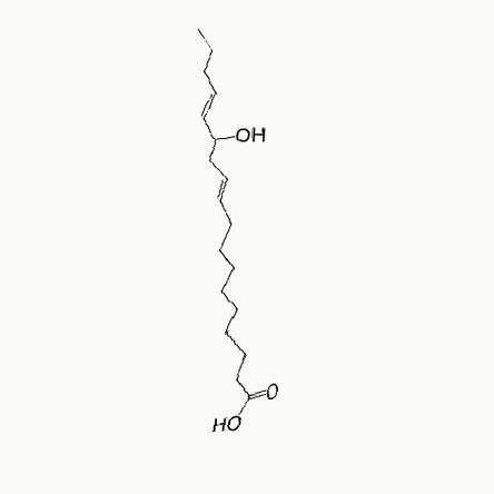 CCCC=CC(O)CC=CCCCCCCCCC(=O)O